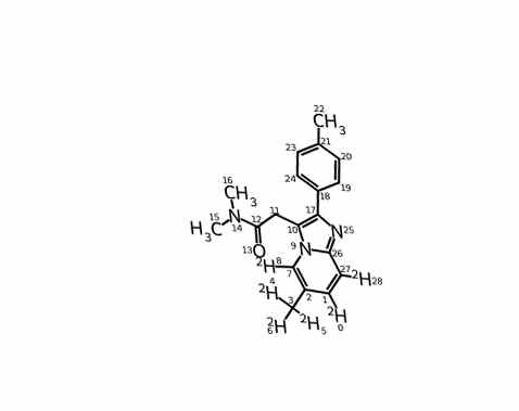 [2H]c1c(C([2H])([2H])[2H])c([2H])n2c(CC(=O)N(C)C)c(-c3ccc(C)cc3)nc2c1[2H]